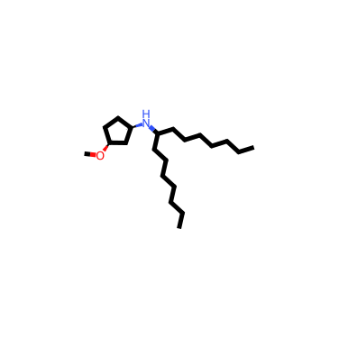 CCCCCCCC(CCCCCCC)N[C@@H]1CC[C@H](OC)C1